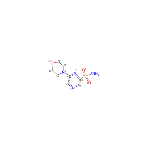 NS(=O)(=O)c1cncc(N2CCOCC2)n1